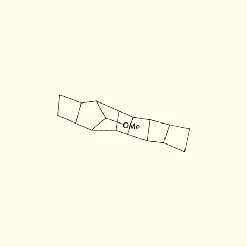 COC1C2C3CCC3C1C1C2C2C3C4CCC4C3C12